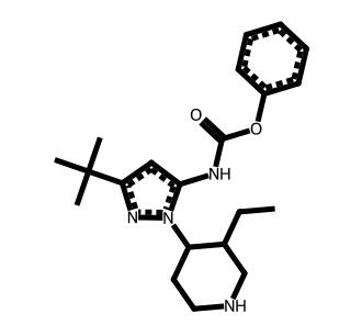 CCC1CNCCC1n1nc(C(C)(C)C)cc1NC(=O)Oc1ccccc1